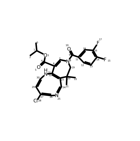 CC(C)OC(=O)C1=CN(C(=O)c2ccc(F)c(F)c2)CC(C)(C)c2cncc(Cl)cc[nH]c21